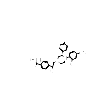 CCCNC(=O)c1ccc([C@](C)(O)CN2CCN(c3ccc(C#N)cc3Cl)[C@H](c3ccc(Cl)cc3)C2)cc1